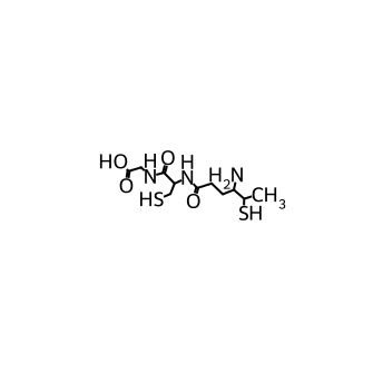 CC(S)C(N)CCC(=O)NC(CS)C(=O)NCC(=O)O